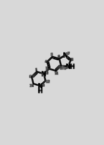 C1=CN(c2ccc3nc[nH]c3c2)CNC1